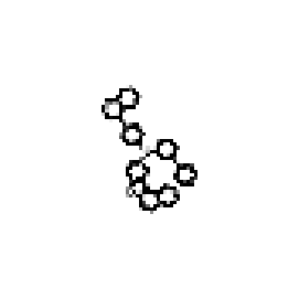 c1ccc(-c2cccc(N(c3ccc(-c4cccc5ccccc45)cc3)c3ccc4oc5ccc6ccccc6c5c4c3)c2)cc1